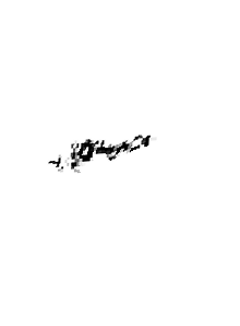 CS(=O)(=O)c1ccc(OCCOCCO)cc1